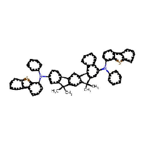 CC1(C)c2cc(N(c3ccccc3)c3cccc4c3sc3ccccc34)ccc2-c2cc3c(cc21)C(C)(C)c1cc(N(c2ccccc2)c2cccc4c2sc2ccccc24)c2ccccc2c1-3